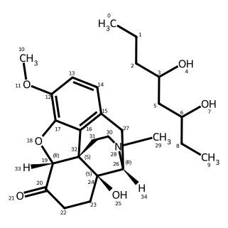 CCCC(O)CC(O)CC.COc1ccc2c3c1O[C@H]1C(=O)CC[C@@]4(O)[C@@H](C2)N(C)CC[C@]314